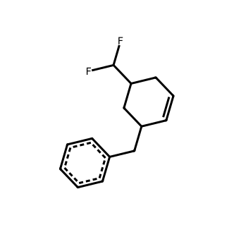 FC(F)C1CC=CC(Cc2ccccc2)C1